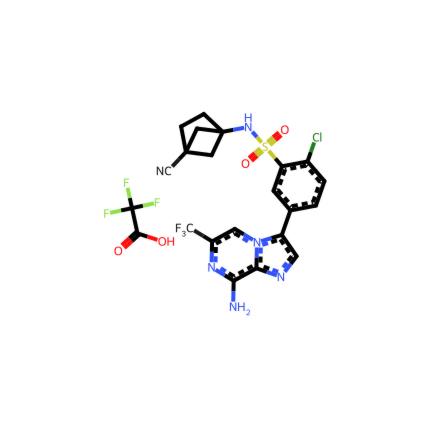 N#CC12CCC(NS(=O)(=O)c3cc(-c4cnc5c(N)nc(C(F)(F)F)cn45)ccc3Cl)(C1)C2.O=C(O)C(F)(F)F